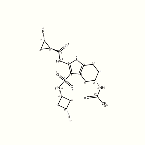 O=C(Nc1sc2c(c1S(=O)(=O)N[C@H]1C[C@@H](F)C1)C[C@@H](NC(=O)C(F)(F)F)CC2)[C@H]1C[C@@H]1F